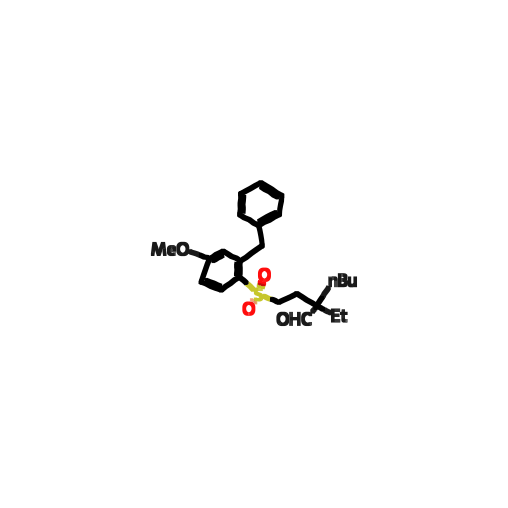 CCCCC(C=O)(CC)CCS(=O)(=O)c1ccc(OC)cc1Cc1ccccc1